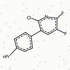 CCCc1ccc(-c2cc(F)c(F)nc2Cl)cc1